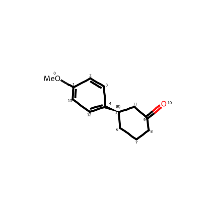 COc1ccc([C@@H]2CCCC(=O)C2)cc1